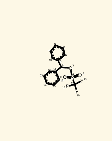 O=S(=O)(OC(c1ccccc1)c1ccccc1)C(F)(F)F